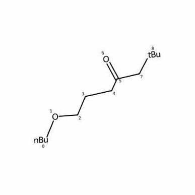 CCCCOCCCC(=O)CC(C)(C)C